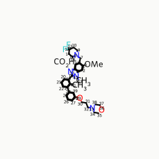 COc1cc2c(cc1CN1CCC(F)(F)CC1C(=O)O)nc(-c1cccc(-c3cccc(OCCCN4CCOCC4)c3)c1C)n2C